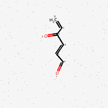 C=CC(=O)C=CC=O